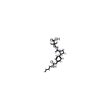 CCCCNC(=O)Cc1ccc(C2CCC2/C(C)=N/OC(C)(C)C(=O)O)cc1